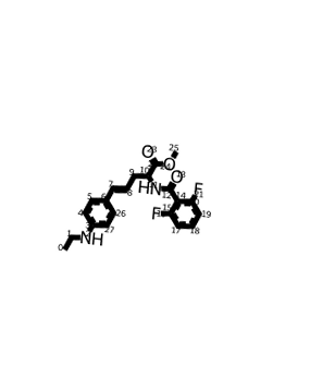 CCNc1ccc(/C=C/CC(NC(=O)c2c(F)cccc2F)C(=O)OC)cc1